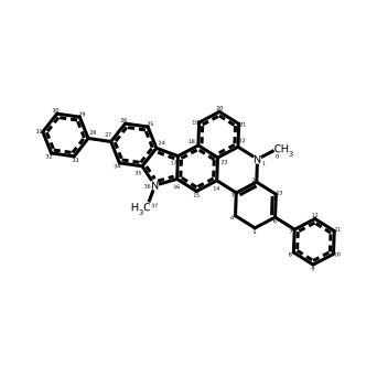 CN1C2=C(CCC(c3ccccc3)=C2)c2cc3c(c4cccc1c24)c1ccc(-c2ccccc2)cc1n3C